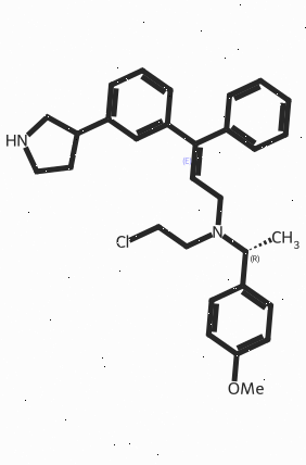 COc1ccc([C@@H](C)N(C/C=C(\c2ccccc2)c2cccc(C3CCNC3)c2)CCCl)cc1